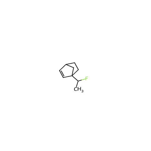 CC(F)C12C=CC(CC1)C2